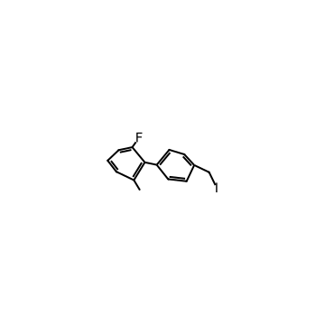 Cc1cccc(F)c1-c1ccc(CI)cc1